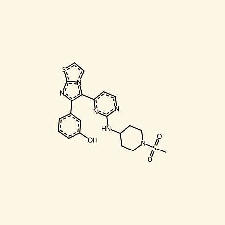 CS(=O)(=O)N1CCC(Nc2nccc(-c3c(-c4cccc(O)c4)nc4sccn34)n2)CC1